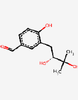 CC(C)(O)[C@H](O)Cc1cc(C=O)ccc1O